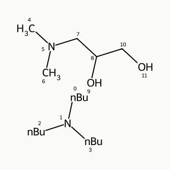 CCCCN(CCCC)CCCC.CN(C)CC(O)CO